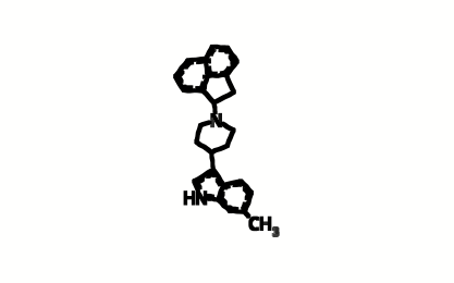 Cc1ccc2c(C3CCN(C4Cc5cccc6cccc4c56)CC3)c[nH]c2c1